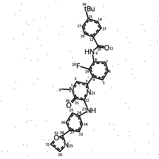 Cn1cc(-c2cccc(NC(=O)c3ccc(C(C)(C)C)cc3)c2F)nc(Nc2ccc(-c3ncco3)cc2)c1=O